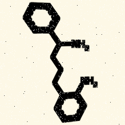 Nc1ccccc1CCCC(N)c1ccccc1